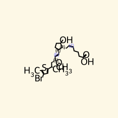 CO[C@H](/C=C/[C@H]1CCC(O)[C@@H]1C/C=C\CCCC(=O)O)CC(C)c1cc(Br)c(C)s1